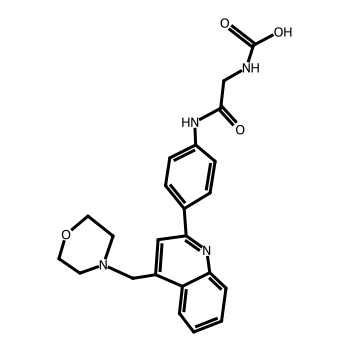 O=C(O)NCC(=O)Nc1ccc(-c2cc(CN3CCOCC3)c3ccccc3n2)cc1